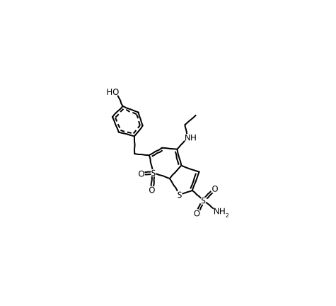 CCNC1=C2C=C(S(N)(=O)=O)SC2S(=O)(=O)C(Cc2ccc(O)cc2)=C1